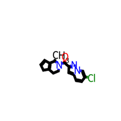 CC1C2=C(CC=C2)CCN1C(=O)c1cc2ccc(Cl)cn2n1